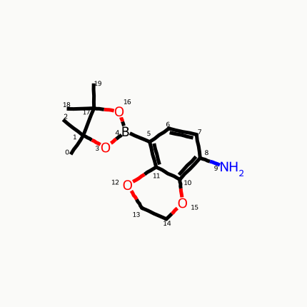 CC1(C)OB(c2ccc(N)c3c2OCCO3)OC1(C)C